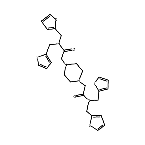 O=C(CN1CCN(CC(=O)N(Cc2cccs2)Cc2cccs2)CC1)N(Cc1cccs1)Cc1cccs1